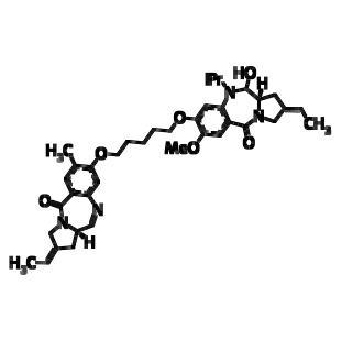 CC=C1C[C@H]2C=Nc3cc(OCCCCCOc4cc5c(cc4OC)C(=O)N4CC(=CC)C[C@H]4C(O)N5C(C)C)c(C)cc3C(=O)N2C1